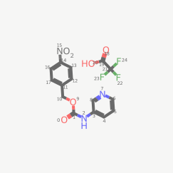 O=C(Nc1cccnc1)OCc1ccc([N+](=O)[O-])cc1.O=C(O)C(F)(F)F